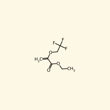 C=C(OCC(F)(F)F)C(=O)OCC